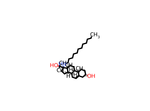 CCCCCCCCCCCCN[C@]1(C(C)(C)O)CC[C@H]2[C@@H]3CC=C4C[C@@H](O)CC[C@]4(C)[C@H]3CC[C@@]21C